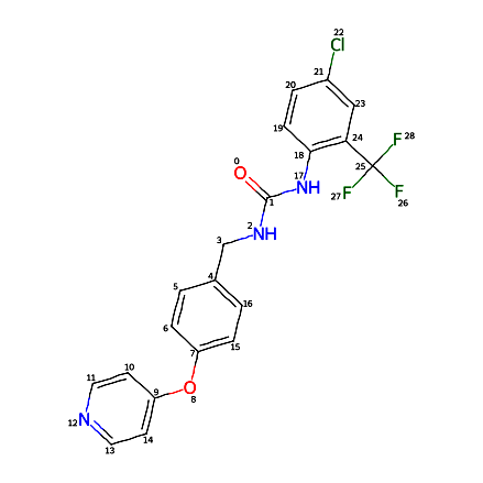 O=C(NCc1ccc(Oc2ccncc2)cc1)Nc1ccc(Cl)cc1C(F)(F)F